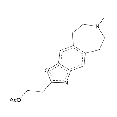 CC(=O)OCCc1nc2cc3c(cc2o1)CCN(C)CC3